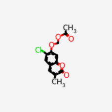 CC(=O)OCOc1cc2oc(=O)c(C)cc2cc1Cl